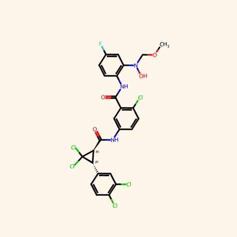 COCN(O)c1cc(F)ccc1NC(=O)c1cc(NC(=O)[C@H]2[C@H](c3ccc(Cl)c(Cl)c3)C2(Cl)Cl)ccc1Cl